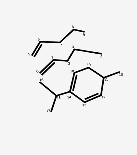 C=CCCC.C=CCCC.CC1C=CC(C(C)C)=CC1